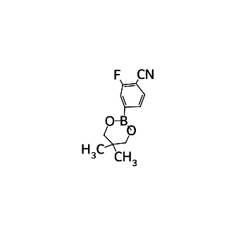 CC1(C)COB(c2ccc(C#N)c(F)c2)OC1